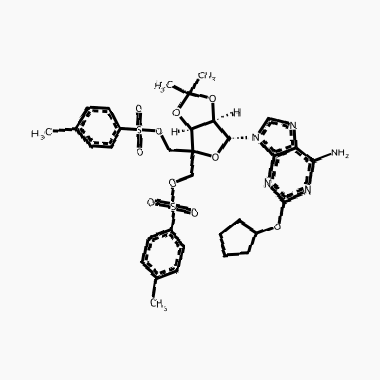 Cc1ccc(S(=O)(=O)OCC2(COS(=O)(=O)c3ccc(C)cc3)O[C@@H](n3cnc4c(N)nc(OC5CCCC5)nc43)[C@@H]3OC(C)(C)O[C@@H]32)cc1